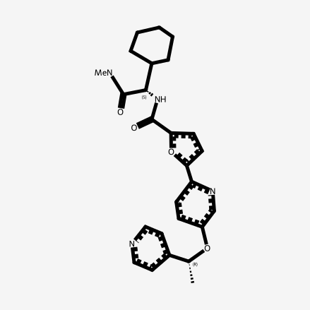 CNC(=O)[C@@H](NC(=O)c1ccc(-c2ccc(O[C@H](C)c3ccncc3)cn2)o1)C1CCCCC1